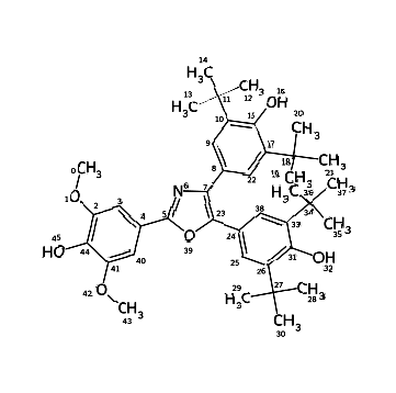 COc1cc(-c2nc(-c3cc(C(C)(C)C)c(O)c(C(C)(C)C)c3)c(-c3cc(C(C)(C)C)c(O)c(C(C)(C)C)c3)o2)cc(OC)c1O